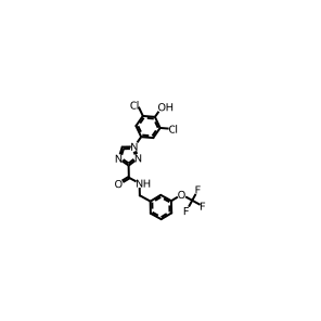 O=C(NCc1cccc(OC(F)(F)F)c1)c1ncn(-c2cc(Cl)c(O)c(Cl)c2)n1